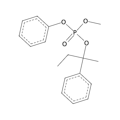 CCC(C)(OP(=O)(OC)Oc1ccccc1)c1ccccc1